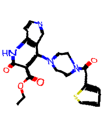 CCOC(=O)c1c(N2CCN(C(=O)c3cccs3)CC2)c2cnccc2[nH]c1=O